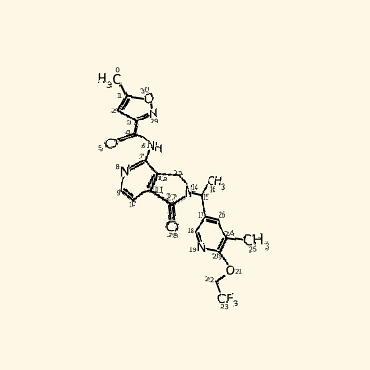 Cc1cc(C(=O)Nc2nccc3c2CN(C(C)c2cnc(OCC(F)(F)F)c(C)c2)C3=O)no1